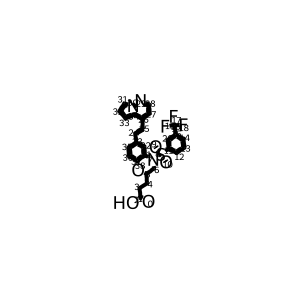 O=C(O)CCC1CN(S(=O)(=O)c2cccc(C(F)(F)F)c2)c2cc(C=Cc3ccnn4cccc34)ccc2O1